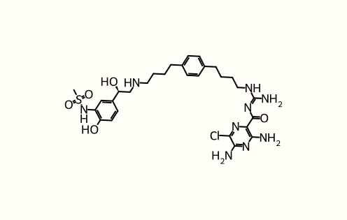 CS(=O)(=O)Nc1cc([C@@H](O)CNCCCCc2ccc(CCCCNC(N)=NC(=O)c3nc(Cl)c(N)nc3N)cc2)ccc1O